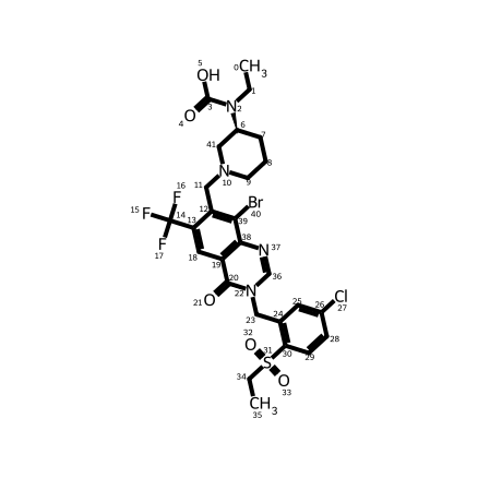 CCN(C(=O)O)[C@H]1CCCN(Cc2c(C(F)(F)F)cc3c(=O)n(Cc4cc(Cl)ccc4S(=O)(=O)CC)cnc3c2Br)C1